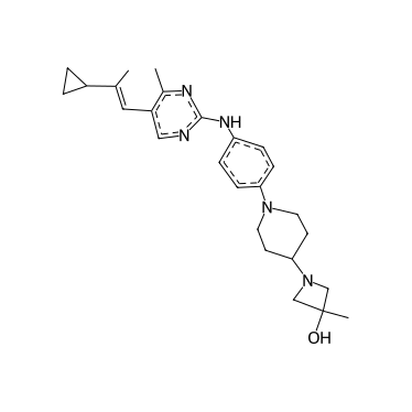 C/C(=C\c1cnc(Nc2ccc(N3CCC(N4CC(C)(O)C4)CC3)cc2)nc1C)C1CC1